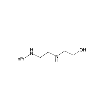 CCCNCCNCCO